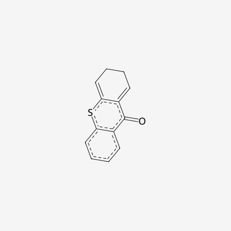 O=c1c2c(sc3ccccc13)=CCCC=2